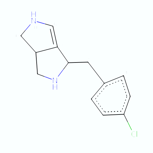 Clc1ccc(CC2NCC3CNC=C32)cc1